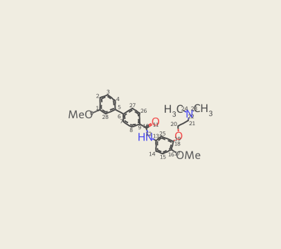 COc1cccc(-c2ccc(C(=O)Nc3ccc(OC)c(OCCN(C)C)c3)cc2)c1